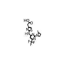 C[C@H]1CCN1c1nc(Nc2nc(CC(=O)O)cs2)cc(C(F)(F)F)n1